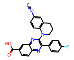 [C-]#[N+]c1ccc2c(c1)CCCN2c1nc2cc(C(=O)O)ccc2nc1-c1ccc(F)cc1